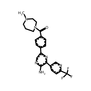 CN1CCCN(C(=O)c2ccc(-c3cnc(N)c(-c4ccc(C(F)(F)F)nc4)n3)cc2)CC1